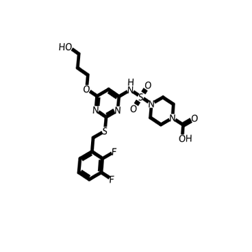 O=C(O)N1CCN(S(=O)(=O)Nc2cc(OCCCO)nc(SCc3cccc(F)c3F)n2)CC1